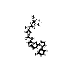 CC(C)(C)OC(=O)NC1CN(C(=O)Nc2cnc3ccc(N4CCCC4c4cc(F)ccc4F)nn23)C1